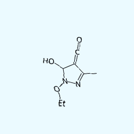 CCON1N=C(C)C(=C=O)C1O